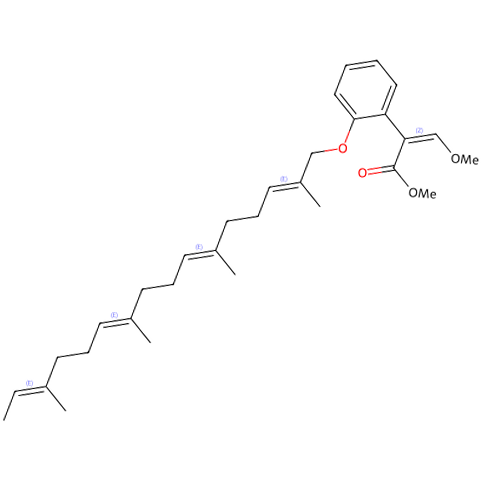 C/C=C(\C)CC/C=C(\C)CC/C=C(\C)CC/C=C(\C)COc1ccccc1/C(=C/OC)C(=O)OC